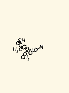 CCOCC(Oc1ccc(OCC(=O)O)c(C)c1)c1cccc(-c2ccc(C#N)cc2)n1